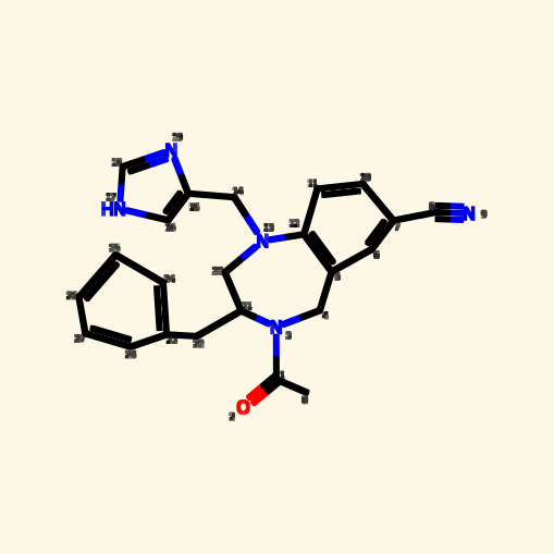 CC(=O)N1Cc2cc(C#N)ccc2N(Cc2c[nH]cn2)CC1Cc1ccccc1